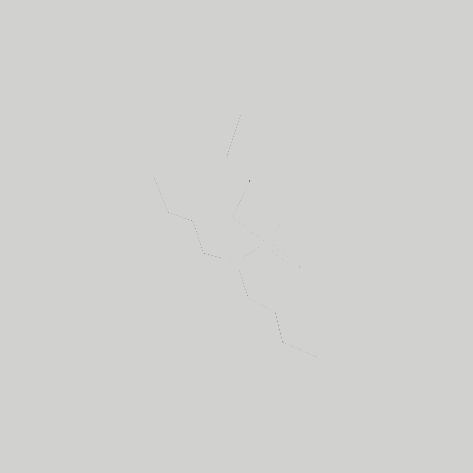 CCCC[SH](CCCC)S(=O)(=O)CCCC